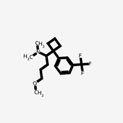 COCCCC(N(C)C)C1(c2cccc(C(F)(F)F)c2)CCC1